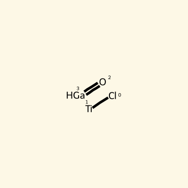 [Cl][Ti].[O]=[GaH]